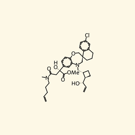 C=CCCCN(C)C(=O)C[C@](O)(C(=O)OC)c1ccc2c(c1)N(C[C@@H]1CC[C@H]1[C@@H](O)C=C)C[C@@]1(CCCc3cc(Cl)ccc31)CO2